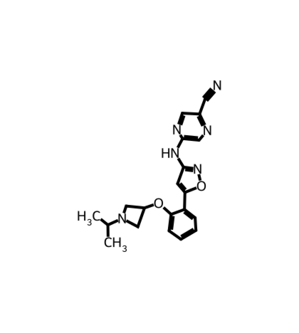 CC(C)N1CC(Oc2ccccc2-c2cc(Nc3cnc(C#N)cn3)no2)C1